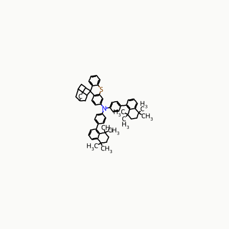 CC1(C)CCC(C)(C)c2c(-c3ccc(N(c4ccc(-c5cccc6c5C(C)(C)CCC6(C)C)cc4)c4ccc5c(c4)Sc4ccccc4C54C5CC6CC7CC4C75C6)cc3)cccc21